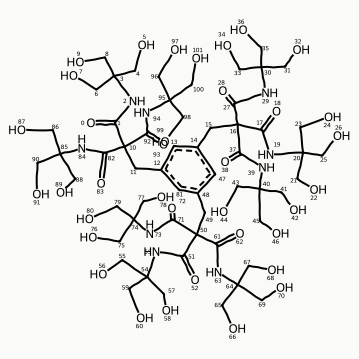 O=C(NC(CO)(CO)CO)C(Cc1cc(CC(C(=O)NC(CO)(CO)CO)(C(=O)NC(CO)(CO)CO)C(=O)NC(CO)(CO)CO)cc(CC(C(=O)NC(CO)(CO)CO)(C(=O)NC(CO)(CO)CO)C(=O)NC(CO)(CO)CO)c1)(C(=O)NC(CO)(CO)CO)C(=O)NC(CO)(CO)CO